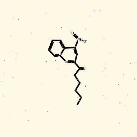 CCCCCC(=O)c1cc([N+](=O)[O-])c2ccccc2n1